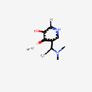 CCc1[nH]cc(C(N(C)C)C(F)(F)F)c(=O)c1O.[Cl-].[H+]